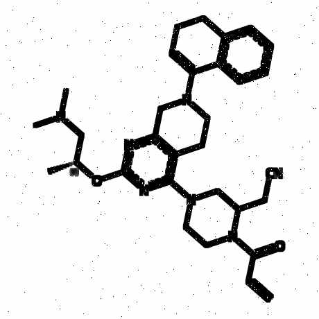 C=CC(=O)N1CCN(c2nc(O[C@H](C)CN(C)C)nc3c2CCN(C2=CCCc4ccccc42)C3)CC1CC#N